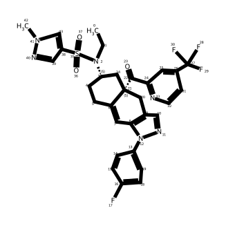 CCN([C@H]1CCC2=Cc3c(cnn3-c3ccc(F)cc3)C[C@]2(C(=O)c2cc(C(F)(F)F)ccn2)C1)S(=O)(=O)c1cnn(C)c1